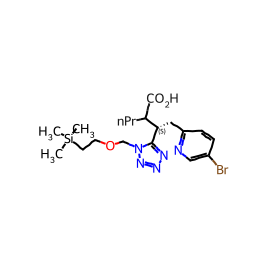 CCCC(C(=O)O)[C@H](Cc1ccc(Br)cn1)c1nnnn1COCC[Si](C)(C)C